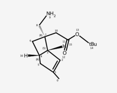 CC1=C[C@@H]2[C@H](C1)C[C@@]2(CN)CC(=O)OC(C)(C)C